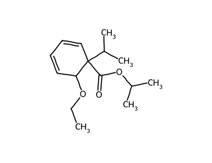 CCOC1C=CC=CC1(C(=O)OC(C)C)C(C)C